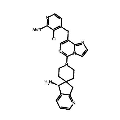 CNc1nccc(Sc2cnc(N3CCC4(CC3)Cc3ncccc3[C@H]4N)n3ccnc23)c1Cl